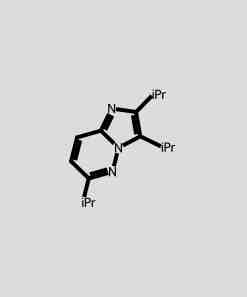 CC(C)c1ccc2nc(C(C)C)c(C(C)C)n2n1